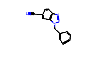 N#Cc1ccc2nnn(Cc3ccccc3)c2c1